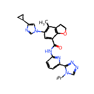 Cc1c(-n2cnc(C3CC3)c2)cc(C(=O)Nc2cccc(-c3nncn3C(C)C)n2)c2c1CCO2